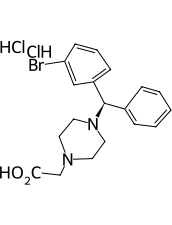 Cl.Cl.O=C(O)CN1CCN([C@H](c2ccccc2)c2cccc(Br)c2)CC1